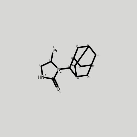 CC(C)C1CNC(=O)N1C1C2CC3CC(C2)CC1C3